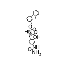 NC(=O)Nc1ccc(C[C@@H](NC(=O)OCc2cccc3c2Cc2ccccc2-3)C(=O)O)cc1